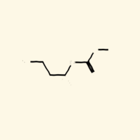 C[C@H](CCC#N)NC(=O)OC(C)(C)C